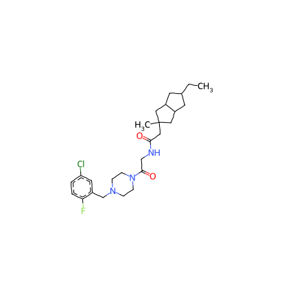 CCC1CC2CC(C)(CC(=O)NCC(=O)N3CCN(Cc4cc(Cl)ccc4F)CC3)CC2C1